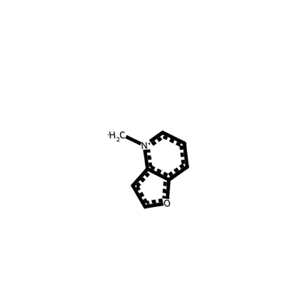 [CH2][n+]1cccc2occc21